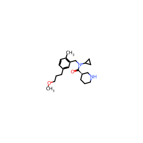 COCCCc1ccc(C)c(CN(C(=O)[C@@H]2CCCNC2)C2CC2)c1